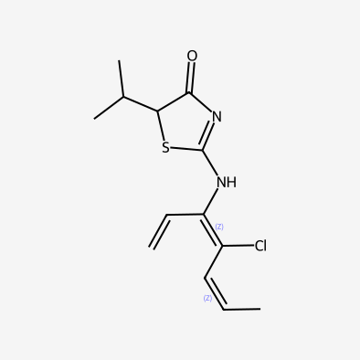 C=C/C(NC1=NC(=O)C(C(C)C)S1)=C(Cl)\C=C/C